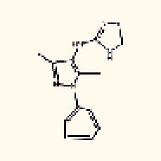 Cc1nn(-c2ccccc2)c(C)c1NC1=NCCN1